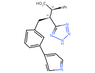 CCC[C@H](C(=O)O)[C@H](Cc1cccc(-c2ccncc2)c1)c1nn[nH]n1